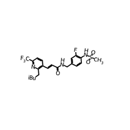 CCC(C)Cc1nc(C(F)(F)F)ccc1C=CC(=O)NCc1ccc(NS(C)(=O)=O)c(F)c1